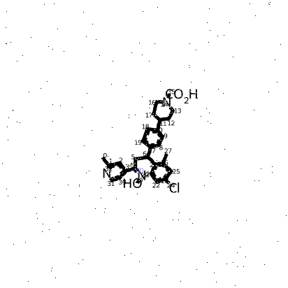 Cc1cc(/C(CC(c2ccc(C3CCN(C(=O)O)CC3)cc2)c2ccc(Cl)cc2C)=N\O)ccn1